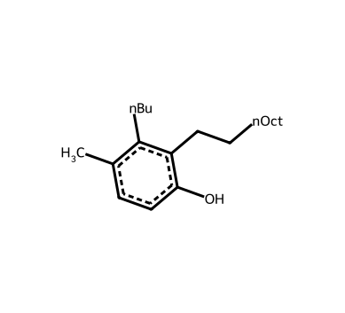 CCCCCCCCCCc1c(O)ccc(C)c1CCCC